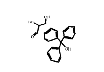 O=CC(O)CO.OC(c1ccccc1)(c1ccccc1)c1ccccc1